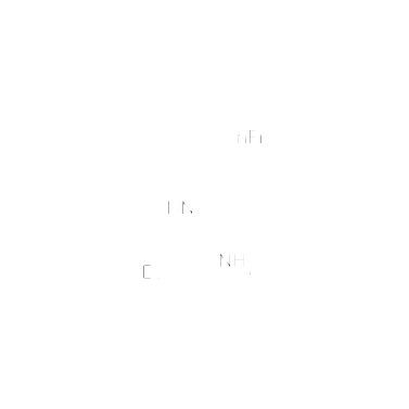 CCCC(C)CNC(N)CC